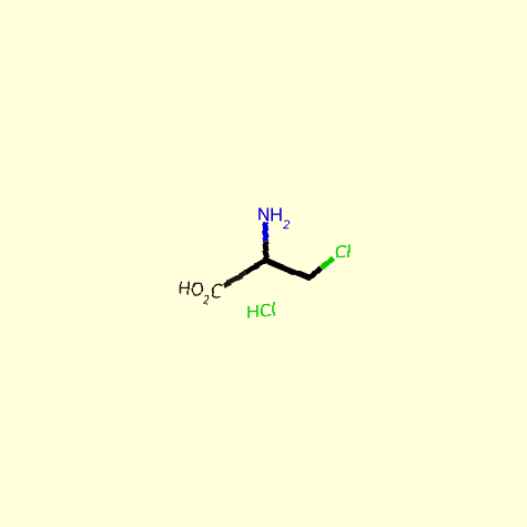 Cl.NC(CCl)C(=O)O